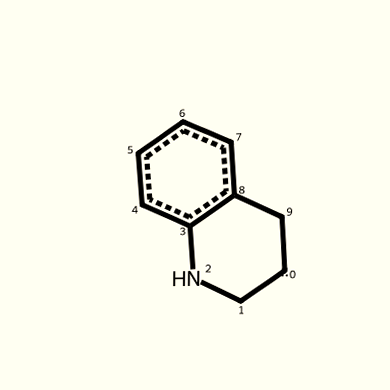 [C]1CNc2ccccc2C1